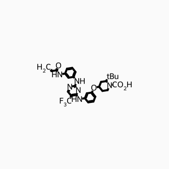 C=CC(=O)Nc1cccc(Nc2ncc(C(F)(F)F)c(Nc3cccc(OC4CCN(C(=O)O)C(C(C)(C)C)C4)c3)n2)c1